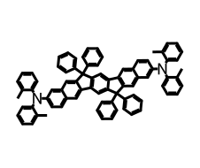 Cc1ccccc1N(c1ccc2cc3c(cc2c1)C(c1ccccc1)(c1ccccc1)c1cc2c(cc1-3)C(c1ccccc1)(c1ccccc1)c1cc3cc(N(c4ccccc4C)c4ccccc4C)ccc3cc1-2)c1ccccc1C